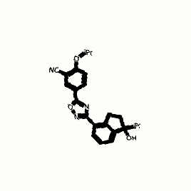 CC(C)Oc1ccc(-c2nc(-c3cccc4c3CCC4(O)C(C)C)no2)cc1C#N